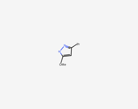 COC1=CC(C(C)C)=N[N]1